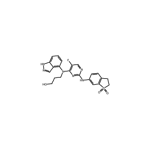 O=S1(=O)CCc2ccc(Nc3ncc(F)c(N(CCCO)c4cccc5[nH]ncc45)n3)cc21